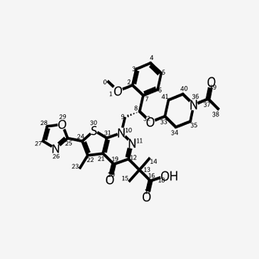 COc1ccccc1[C@@H](Cn1nc(C(C)(C)C(=O)O)c(=O)c2c(C)c(-c3ncco3)sc21)OC1CCN(C(C)=O)CC1